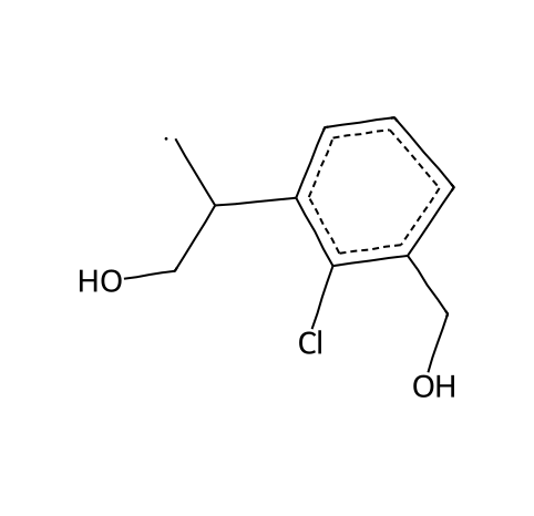 [CH2]C(CO)c1cccc(CO)c1Cl